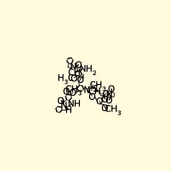 COCCOCCOCCN(CC(C)(C)SCCCC(=O)ON1C(=O)CCC1=O)c1cc(COc2cc(N)c(C(=O)N3c4ccccc4C[C@H]3C)cc2OC)cc(COc2cc3c(cc2OC)C(=O)N2c4ccccc4C[C@H]2CN3)c1